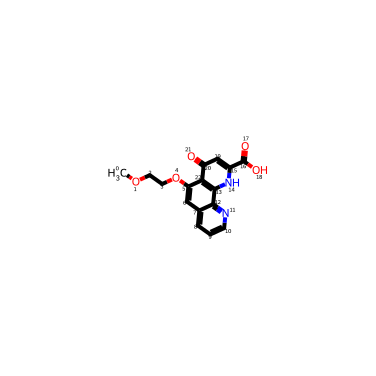 COCCOc1cc2cccnc2c2[nH]c(C(=O)O)cc(=O)c12